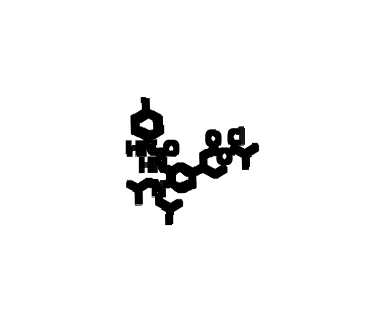 CCC(CC(=O)OC(Cl)C(C)C)c1ccc(N(CC(C)C)CC(C)C)c(NC(=O)Nc2ccc(C)cc2)c1